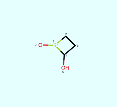 [O-][S+]1CCC1O